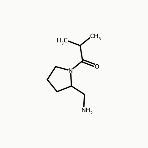 CC(C)C(=O)N1CCCC1CN